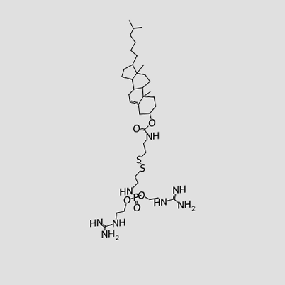 CC(C)CCCCC1CCC2C3CC=C4CC(OC(=O)NCCSSCCNP(=O)(OCCNC(=N)N)OCCNC(=N)N)CCC4(C)C3CCC12C